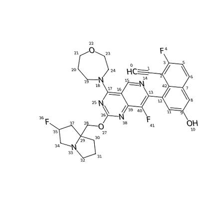 C#Cc1c(F)ccc2cc(O)cc(-c3ncc4c(N5CCCOCC5)nc(OCC56CCCN5CC(F)C6)nc4c3F)c12